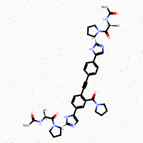 COC(=O)N[C@H](C(=O)N1CCC[C@H]1c1ncc(-c2ccc(C#Cc3ccc(-c4cnc([C@@H]5CCCN5C(=O)[C@@H](NC(=O)OC)C(C)C)[nH]4)cc3C(=O)N3CCCC3)cc2)[nH]1)C(C)C